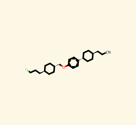 N#CCC[C@H]1CC[C@H](c2ccc(OC[C@H]3CC[C@H](CCCF)CC3)cc2)CC1